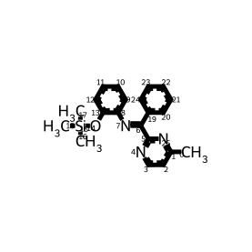 Cc1ccnc(C(=Nc2ccccc2O[Si](C)(C)C)c2ccccc2)n1